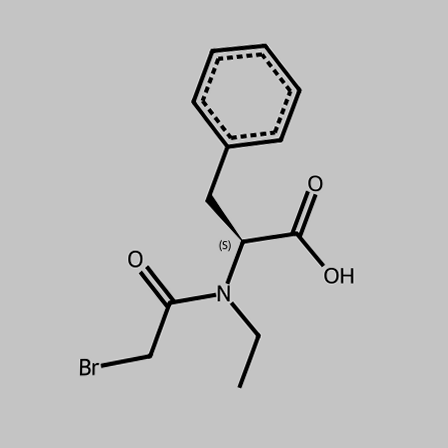 CCN(C(=O)CBr)[C@@H](Cc1ccccc1)C(=O)O